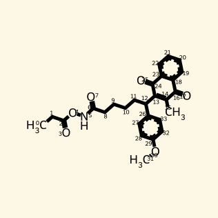 CCC(=O)ONC(=O)CCCCC(C1=C(C)C(=O)c2ccccc2C1=O)c1ccc(OC)cc1